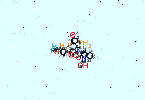 COc1cc(P)c([C@@H]2CN(c3c(C)c4c(n(CCO)c3=O)CCCC4)C(=O)[C@H]2CC(=O)c2ccc(OC(F)(F)F)cc2)c(P)c1